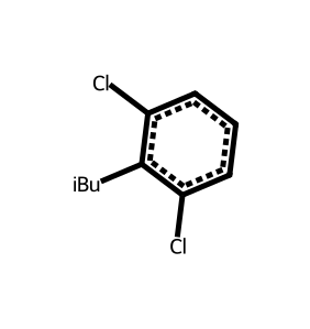 CCC(C)c1c(Cl)cccc1Cl